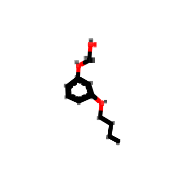 CCCCOc1cccc(OBO)c1